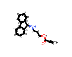 C#CC(=O)OCCCNC1c2ccccc2-c2ccccc21